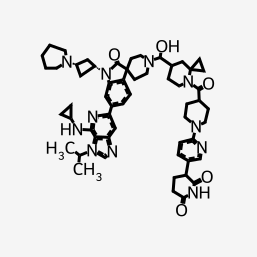 CC(C)n1cnc2cc(-c3ccc4c(c3)N([C@H]3C[C@@H](N5CCCCC5)C3)C(=O)C43CCN(C(O)C4CCN(C(=O)C5CCN(c6ccc(C7CCC(=O)NC7=O)cn6)CC5)C5(CC5)C4)CC3)nc(NC3CC3)c21